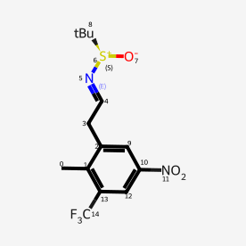 Cc1c(C/C=N/[S@+]([O-])C(C)(C)C)cc([N+](=O)[O-])cc1C(F)(F)F